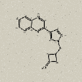 O=C1CC(Cn2cc(-c3cnc4ccccc4n3)cn2)C1